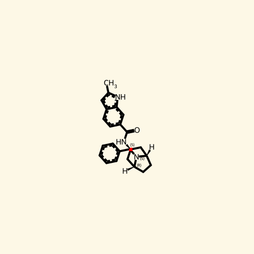 Cc1cc2ccc(C(=O)N[C@@H]3C[C@H]4CC[C@@H](C3)N4Cc3ccccc3)cc2[nH]1